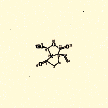 C=C[C@@]12CCC(=O)N1[C@@H](C(C)(C)C)OC2=O